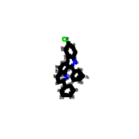 Clc1ccc2nc(-c3ccccc3)c3c(ccc4ccc(-c5ccccc5)nc43)c2c1